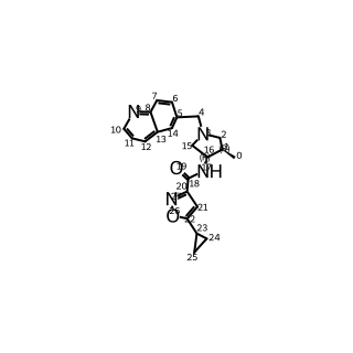 C[C@@H]1CN(Cc2ccc3ncccc3c2)C[C@@H]1NC(=O)c1cc(C2CC2)on1